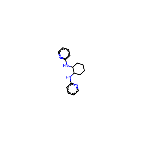 c1ccc(NC2CCCCC2Nc2ccccn2)nc1